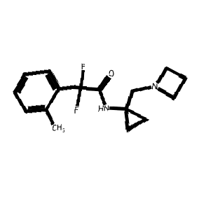 Cc1ccccc1C(F)(F)C(=O)NC1(CN2CCC2)CC1